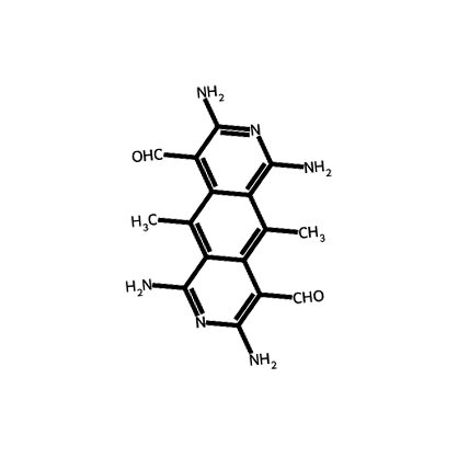 Cc1c2c(N)nc(N)c(C=O)c2c(C)c2c(N)nc(N)c(C=O)c12